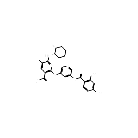 COc1ccc(C(=O)Nc2cncc(Nc3nc(N[C@@H]4CCCC[C@@H]4N)c(F)cc3C(N)=O)c2)c(OC)c1